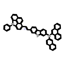 C(=C\c1ccc2c3c1ccc1cccc(c13)n2-c1ccccc1)/c1ccc2c(c1)sc1cc(N(c3ccc4ccccc4c3)c3cc4ccccc4c4ccccc34)ccc12